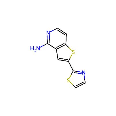 Nc1nccc2sc(-c3nccs3)cc12